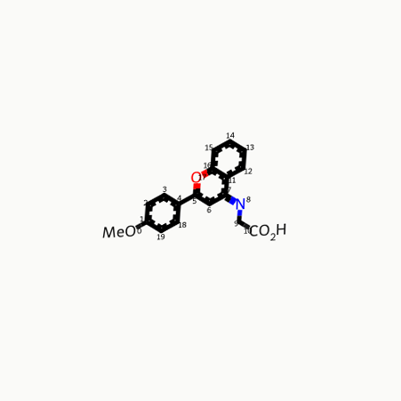 COc1ccc(-c2c/c(=N\CC(=O)O)c3ccccc3o2)cc1